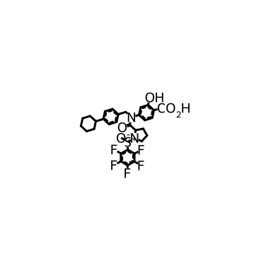 O=C(O)c1ccc(N(Cc2ccc(C3CCCCC3)cc2)C(=O)C2CCCN2[S+]([O-])c2c(F)c(F)c(F)c(F)c2F)cc1O